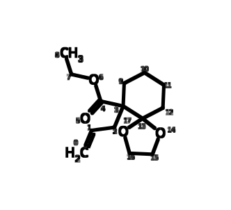 C=CCC1(C(=O)OCC)CCCCC12OCCO2